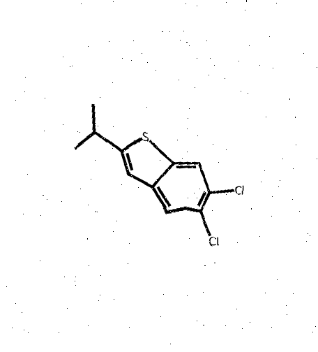 CC(C)c1cc2cc(Cl)c(Cl)cc2s1